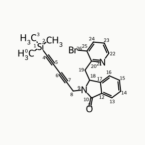 C[Si](C)(C)C#CC#CCN1C(=O)c2ccccc2C1Cc1ncccc1Br